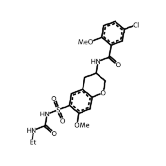 CCNC(=O)NS(=O)(=O)c1cc2c(cc1OC)OCC(NC(=O)c1cc(Cl)ccc1OC)C2